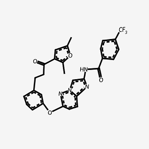 Cc1cc(C(=O)CCc2cccc(Oc3ccc4nc(NC(=O)c5ccc(C(F)(F)F)cc5)cn4n3)c2)c(C)o1